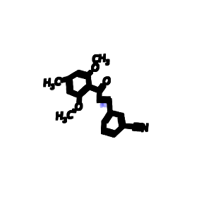 COc1cc(C)cc(OC)c1C(=O)/C=C/c1cccc(C#N)c1